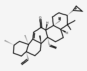 C=C[C@]12CC[C@H](C3=CC3)C(C)(C)[C@@H]1CC[C@]1(C=C)[C@@H]2C(=O)C=C2[C@]3(C)C[C@@H](C)CC[C@]3(C=C)CC[C@]21C